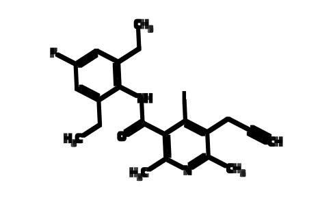 C#CCc1c(C)nc(C)c(C(=O)Nc2c(CC)cc(F)cc2CC)c1I